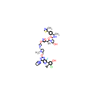 Cc1ncsc1-c1ccc([C@H](C)NC(=O)[C@@H]2C[C@@H](O)CN2C(=O)[C@H](c2cc(OC3CN(C[C@@H]4CC[C@@H](COc5nc(N6CC7CCC(C6)N7)c6cnc(-c7cc(O)cc(Cl)c7C7CC7)c(F)c6n5)N4C)C3)no2)C(C)C)cc1